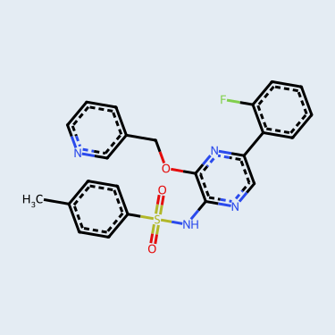 Cc1ccc(S(=O)(=O)Nc2ncc(-c3ccccc3F)nc2OCc2cccnc2)cc1